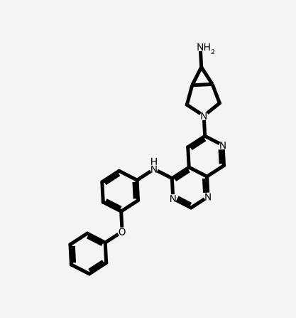 NC1C2CN(c3cc4c(Nc5cccc(Oc6ccccc6)c5)ncnc4cn3)CC12